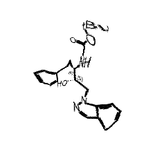 CC(C)(C)OC(=O)N[C@H](Cc1ccccc1)[C@@H](O)Cn1ncc2ccccc21